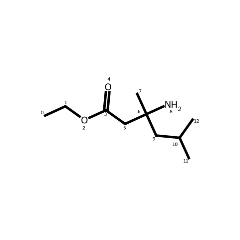 CCOC(=O)CC(C)(N)CC(C)C